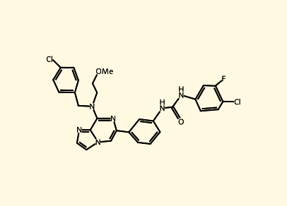 COCCN(Cc1ccc(Cl)cc1)c1nc(-c2cccc(NC(=O)Nc3ccc(Cl)c(F)c3)c2)cn2ccnc12